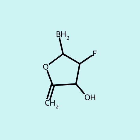 BC1OC(=C)C(O)C1F